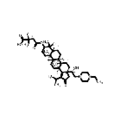 CCN1CCN(C[C@@H](O)[C@@]23CC[C@]4(C)[C@H](CC[C@@H]5[C@@]6(C)CCC(OC(=O)CC(C)(C)C(=O)O)C(C)(C)[C@@H]6CC[C@]54C)C2=C(C(C)C)C(=O)C3)CC1